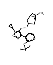 C[C@@H]1CC2CC(OCc3c(-c4ccccc4OC(F)(F)F)noc3C3CC3)CC1N2